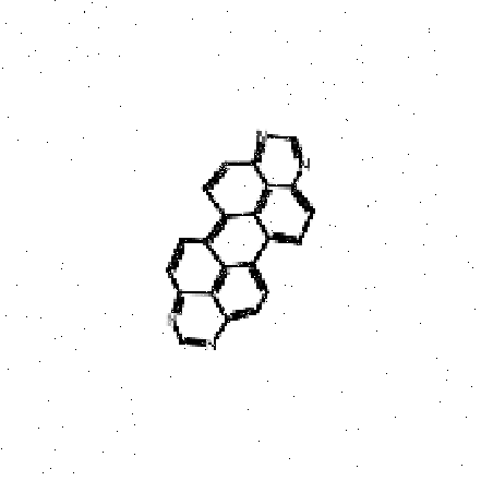 c1nc2ccc3c4ccc5ncnc6ccc(c7ccc(n1)c2c37)c4c56